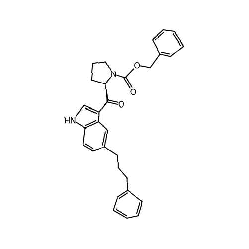 O=C(c1c[nH]c2ccc(CCCc3ccccc3)cc12)[C@H]1CCCN1C(=O)OCc1ccccc1